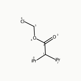 CC(C)C(C(=O)OCCl)C(C)C